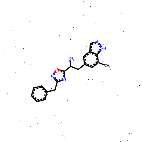 Cc1cc(CC(N)c2nc(Cc3ccccc3)no2)cc2cn[nH]c12